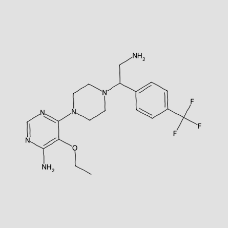 CCOc1c(N)ncnc1N1CCN(C(CN)c2ccc(C(F)(F)F)cc2)CC1